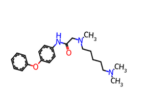 CN(C)CCCCCN(C)CC(=O)Nc1ccc(Oc2ccccc2)cc1